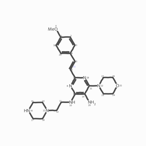 COc1ccc(/C=C/c2nc(NCCN3CCNCC3)c(N)c(N3CCOCC3)n2)cc1